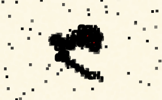 CCCCCCCCCCCCS(=O)(=O)CCC(=O)N(Cc1ccccc1)c1cccc(NC(=O)C(Cl)(C(=O)C(C)(C)C)n2c(=O)n(Cc3ccccc3)n(-c3ccccc3)c2=O)c1